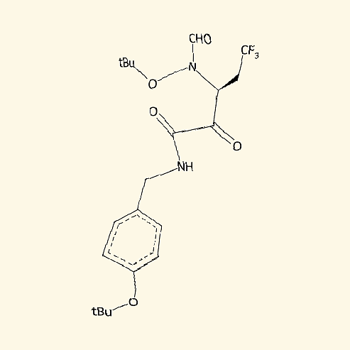 CC(C)(C)Oc1ccc(CNC(=O)C(=O)[C@H](CC(F)(F)F)N(C=O)OC(C)(C)C)cc1